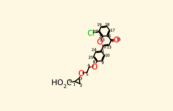 O=C(O)C1CC1OCCOc1ccc(-c2cc(=O)c3cccc(Cl)c3o2)cc1